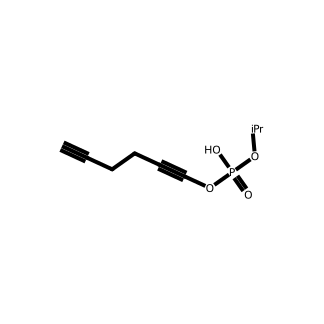 C#CCCC#COP(=O)(O)OC(C)C